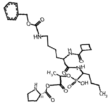 CCCCC(NC(=O)C(CCCCNC(=O)OCc1ccccc1)NC(=O)C1CCC1)P(=O)(O)OC(C)C(=O)OC(=O)[C@@H]1CCCN1